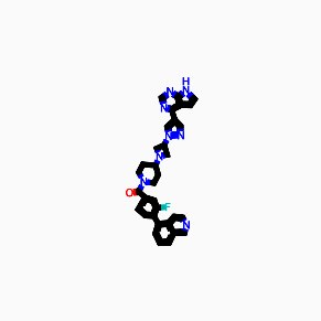 O=C(c1ccc(-c2cccc3cnccc23)c(F)c1)N1CCC(N2C[C](n3cc(-c4ncnc5[nH]ccc45)cn3)C2)CC1